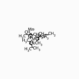 C=CC=C.Cc1cc(C(C)C)nn1C(n1nc(C(C)C)cc1C)n1nc(C(C)C)cc1C.[Mn]